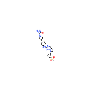 CS(=O)(=O)c1cccc(-c2ccc3cnc(Nc4ccc(C5CCN(CC(N)=O)CC5)cc4)nn23)c1